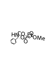 CCOC(=O)N[C@H](COC(=O)/C=C/C(=O)OC)c1ccccc1